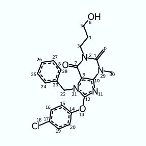 C=C1N(CCCO)C(=O)c2c(nc(Oc3ccc(Cl)cc3)n2Cc2ccccc2)N1C